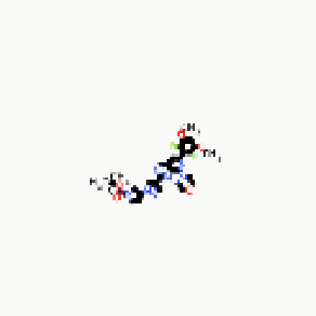 COc1cc(OC)c(F)c(-c2cc3cnc(-c4cnn(C5CCN(C(=O)OC(C)(C)C)C5)c4)nc3c(N3CCOCC3)n2)c1F